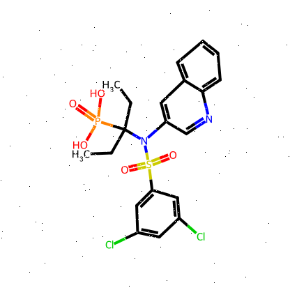 CCC(CC)(N(c1cnc2ccccc2c1)S(=O)(=O)c1cc(Cl)cc(Cl)c1)P(=O)(O)O